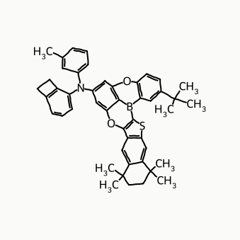 Cc1cccc(N(c2cc3c4c(c2)Oc2c(sc5cc6c(cc25)C(C)(C)CCC6(C)C)B4c2cc(C(C)(C)C)ccc2O3)c2cccc3c2CC3)c1